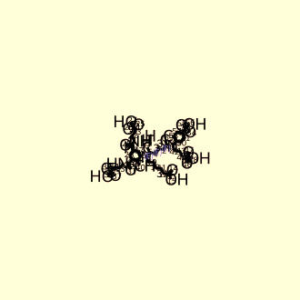 C\C(=C/C=C/C(C)=[N+](\CCCCCC(=O)O)c1cc(C(=O)NCCS(=O)(=O)O)cc(C(=O)NCCS(=O)(=O)O)c1C)N(CCCS(=O)(=O)O)c1ccc(S(=O)(=O)O)cc1C